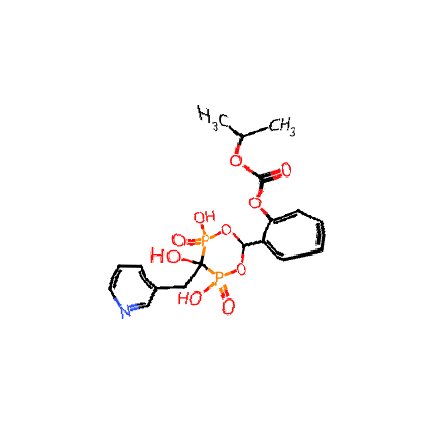 CC(C)OC(=O)Oc1ccccc1C1OP(=O)(O)C(O)(Cc2cccnc2)P(=O)(O)O1